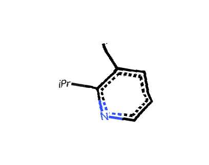 [CH2]c1cccnc1C(C)C